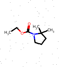 CCOC(=O)N1CCCC1(C)C